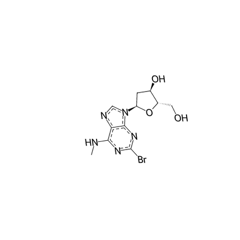 CNc1nc(Br)nc2c1ncn2[C@H]1C[C@@H](O)[C@H](CO)O1